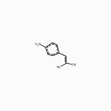 N#CC(C#N)=Cc1ccc([N+](=O)[O-])cc1